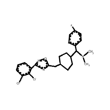 CN(C)C(c1ccc(F)cc1)C1CCC(Cc2nc(-c3cccc(Cl)c3Cl)no2)CC1